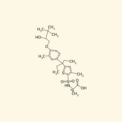 CCC(CC)(c1ccc(OCC(O)C(C)(C)C)c(C)c1)c1cc(C)c(S(=O)(=O)N[C@H](C)C(=O)O)s1